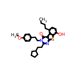 CCCCc1ccc(O)c2sc3nc(CCC4CCCC4)n(CCc4ccc(OC)cc4)c(=O)c3c12